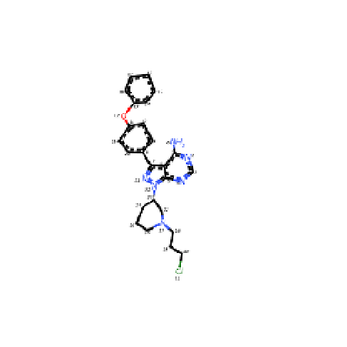 Nc1ncnc2c1c(-c1ccc(Oc3ccccc3)cc1)nn2[C@@H]1CCCN(CCCCl)C1